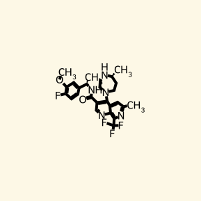 COc1cc([C@H](C)NC(=O)c2cnc3c(C(F)(F)F)nc(C)cc3c2N2CCN[C@@H](C)CC2)ccc1F